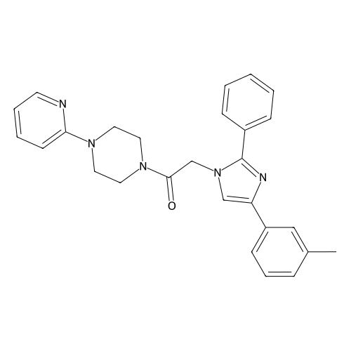 Cc1cccc(-c2cn(CC(=O)N3CCN(c4ccccn4)CC3)c(-c3ccccc3)n2)c1